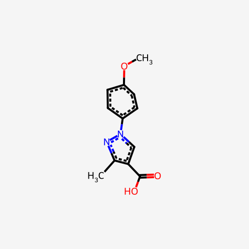 COc1ccc(-n2cc(C(=O)O)c(C)n2)cc1